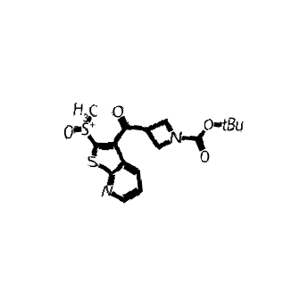 C[S+]([O-])c1sc2ncccc2c1C(=O)C1CN(C(=O)OC(C)(C)C)C1